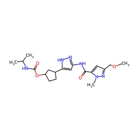 COCc1cc(C(=O)Nc2cc(C3CCC(OC(=O)NC(C)C)C3)[nH]n2)n(C)n1